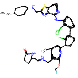 Cc1cc(-c2cccc(-c3cccc(Nc4nccc5sc(CN[C@H]6CC[C@@H](C(=O)O)CC6)nc45)c3Cl)c2Cl)nc(OCF)c1CNCC1CCC(=O)N1